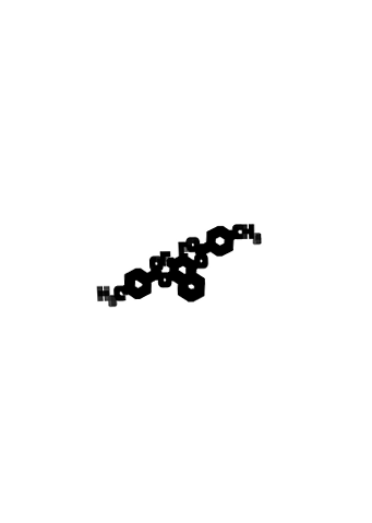 CC1=CC=C(C(=O)OC2=c3ccccc3=C(OC(=O)C3CCC(C)CC3)C(F)C2F)CC1